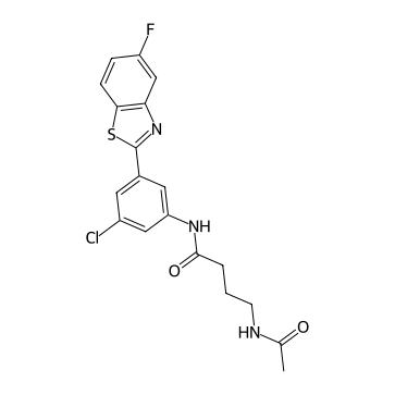 CC(=O)NCCCC(=O)Nc1cc(Cl)cc(-c2nc3cc(F)ccc3s2)c1